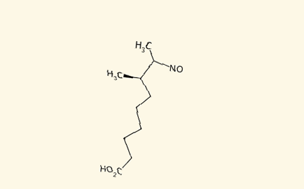 CC(N=O)[C@H](C)CCCCCC(=O)O